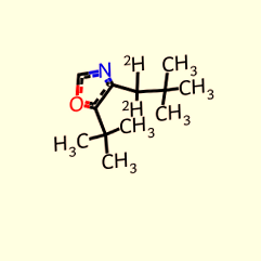 [2H]C([2H])(c1ncoc1C(C)(C)C)C(C)(C)C